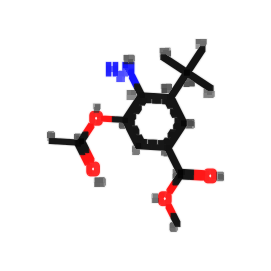 COC(=O)c1cc(OC(C)=O)c(N)c(C(C)(C)C)c1